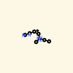 CC1(C)c2ccc(-c3ccc(-c4ccncc4)nc3)cc2-c2cc(-c3nc(-c4ccccc4)nc(-c4ccc(-c5ccccc5)cc4)n3)ccc21